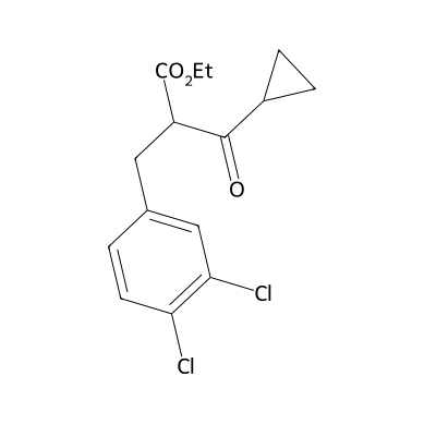 CCOC(=O)C(Cc1ccc(Cl)c(Cl)c1)C(=O)C1CC1